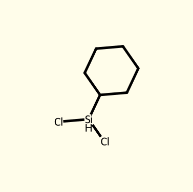 Cl[SiH](Cl)C1CCCCC1